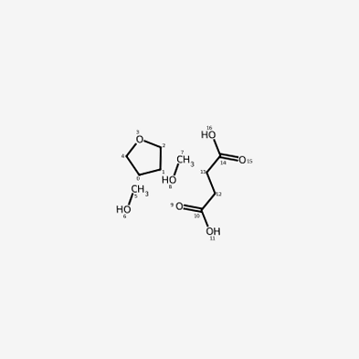 C1CCOC1.CO.CO.O=C(O)CCC(=O)O